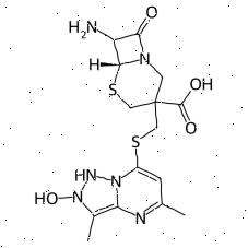 CC1=NC2=C(C)N(O)NN2C(SCC2(C(=O)O)CS[C@@H]3C(N)C(=O)N3C2)=C1